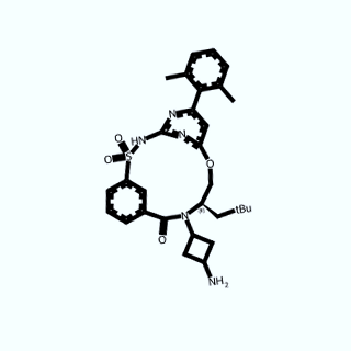 Cc1cccc(C)c1-c1cc2nc(n1)NS(=O)(=O)c1cccc(c1)C(=O)N(C1CC(N)C1)[C@H](CC(C)(C)C)CO2